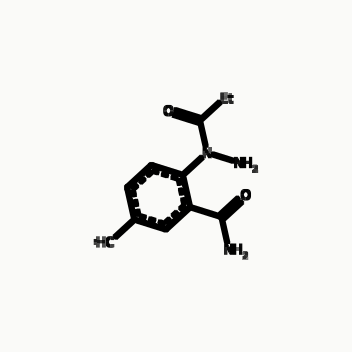 [CH]c1ccc(N(N)C(=O)CC)c(C(N)=O)c1